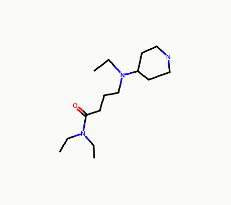 CCN(CC)C(=O)CCCN(CC)C1CC[N]CC1